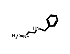 CNCCNCc1ccccc1